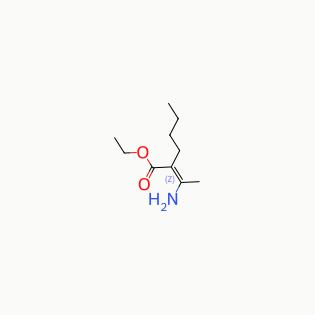 CCCC/C(C(=O)OCC)=C(\C)N